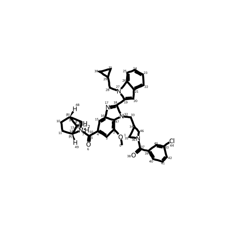 COc1cc(C(=O)N2C[C@H]3CC[C@@H]2[C@@H]3N)cc2nc(-c3cc4ccccc4n3CC3CC3)n(CC3CN(C(=O)c4cccc(Cl)c4)C3)c12